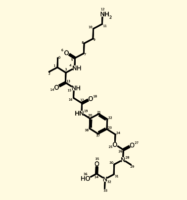 CC(C)C(NC(=O)CCCCCN)C(=O)NCC(=O)Nc1ccc(COC(=O)N(C)CCN(C)C(=O)O)cc1